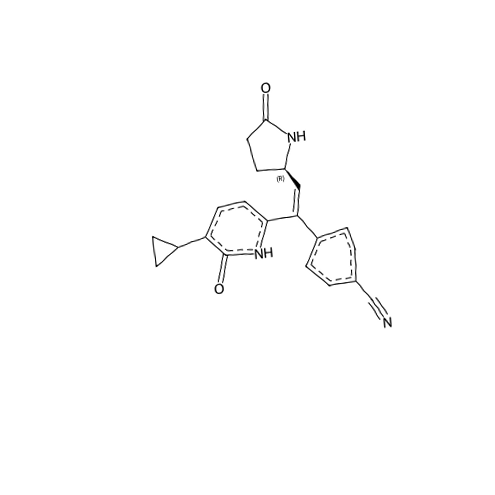 N#Cc1ccc(C(=C[C@H]2CCC(=O)N2)c2ccc(C3CC3)c(=O)[nH]2)cc1